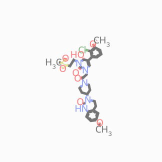 COc1ccc2c(c1)CCN(C1CCN(C(=O)CN3C=C(c4cccc(OC)c4Cl)C(O)N(CCS(C)(=O)=O)C3=O)CC1)C(=O)N2